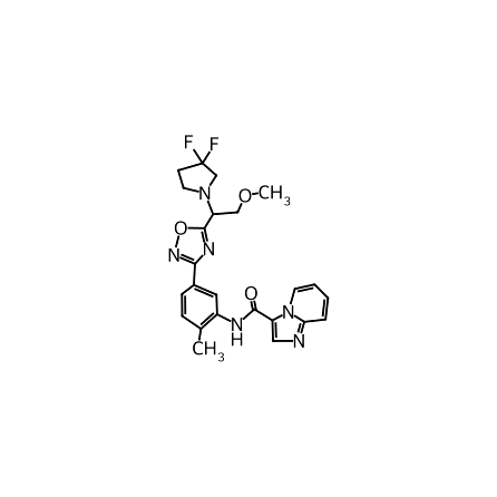 COCC(c1nc(-c2ccc(C)c(NC(=O)c3cnc4ccccn34)c2)no1)N1CCC(F)(F)C1